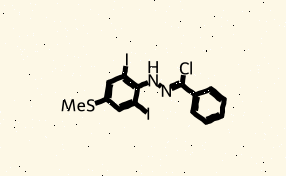 CSc1cc(I)c(NN=C(Cl)c2ccccc2)c(I)c1